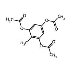 CC(=O)Oc1cc(OC(C)=O)c(C)c(OC(C)=O)c1